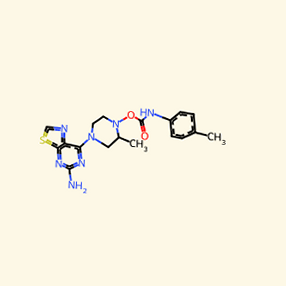 Cc1ccc(NC(=O)ON2CCN(c3nc(N)nc4scnc34)CC2C)cc1